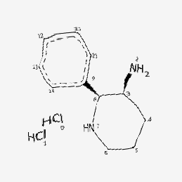 Cl.Cl.N[C@H]1CCCN[C@H]1c1ccccc1